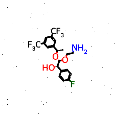 C[C@@H](OC(OCCN)[C@@H](O)c1ccc(F)cc1)c1cc(C(F)(F)F)cc(C(F)(F)F)c1